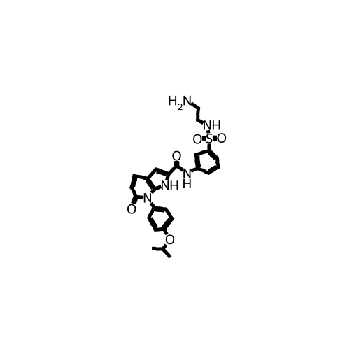 CC(C)Oc1ccc(-n2c(=O)ccc3cc(C(=O)Nc4cccc(S(=O)(=O)NCCN)c4)[nH]c32)cc1